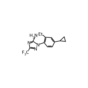 CCc1cc(C2CC2)ccc1-n1nc(C(F)(F)F)nc1N